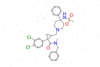 CN(Cc1ccccc1)C(=O)C1(c2ccc(Cl)c(Cl)c2)CC1CN1CCC(NS(C)(=O)=O)(c2ccccc2)CC1